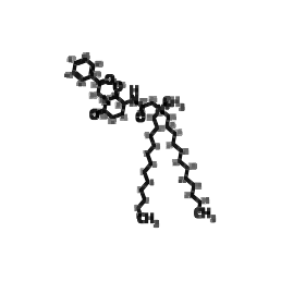 CCCCCCCCCCCC[N+](C)(CCCCCCCCCCCC)CC(=O)NC1CCC(=O)N(CC(=O)c2ccccc2)C1=O